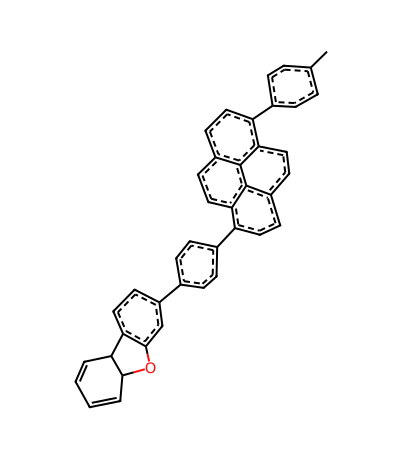 Cc1ccc(-c2ccc3ccc4c(-c5ccc(-c6ccc7c(c6)OC6C=CC=CC76)cc5)ccc5ccc2c3c54)cc1